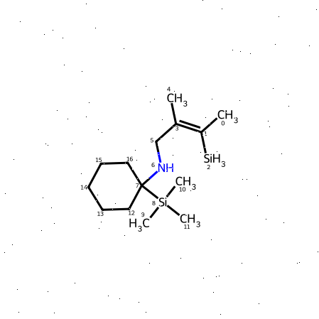 CC([SiH3])=C(C)CNC1([Si](C)(C)C)CCCCC1